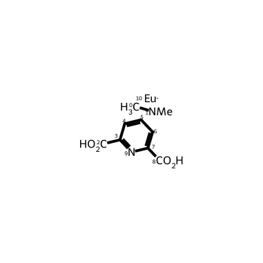 CNC.O=C(O)c1cccc(C(=O)O)n1.[Eu]